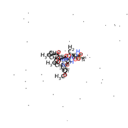 C=C[C@@H]1C[C@]1(NC(=O)[C@@H]1C[C@@H](Oc2nccc3cc(OC)ccc23)CN1C(=O)[C@H](CCC(=O)C#CC(C)(C)C)NC(=O)OC(C)(C)C)C(=O)NS(=O)(=O)C1CC1